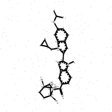 CC(F)Oc1ccc2cc(-c3nc4cc(C(=O)N5C[C@H]6CC[C@@H]5[C@@H]6N)ccc4n3C)n(CC3CC3)c2c1